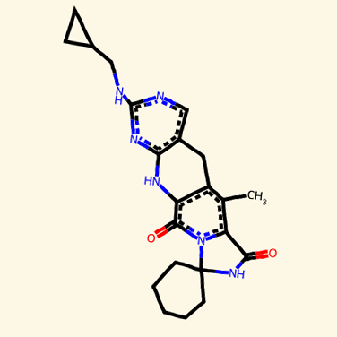 Cc1c2c(c(=O)n3c1C(=O)NC31CCCCC1)Nc1nc(NCC3CC3)ncc1C2